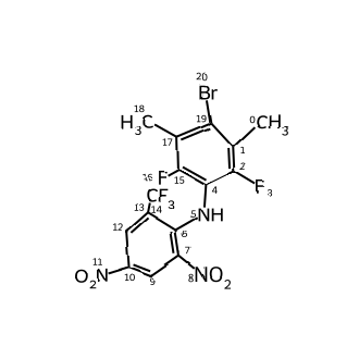 Cc1c(F)c(Nc2c([N+](=O)[O-])cc([N+](=O)[O-])cc2C(F)(F)F)c(F)c(C)c1Br